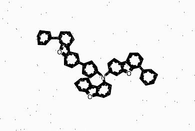 c1ccc(-c2cccc3c2oc2cc(N(c4ccc(-c5ccc6oc7c(-c8ccccc8)cccc7c6c5)cc4)c4cccc5oc6ccccc6c45)ccc23)cc1